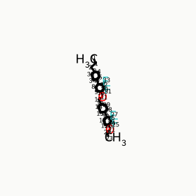 CCCc1ccc(-c2ccc(OCc3ccc(-c4ccc(OCC)c(F)c4F)cc3)c(F)c2F)cc1